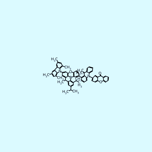 Cc1cc(C)c2c(c1)c1cc(C)cc(C)c1n2-c1cc2c3c(c1)C(C)c1cc(C(C)C)cc(C(C)C)c1B3c1cc(-c3cccc4c3C(C)(C)c3ccccc3N4c3ccc4oc5ccccc5c(=O)c4c3)ccc1O2